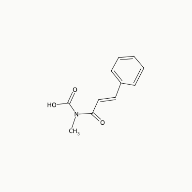 CN(C(=O)O)C(=O)C=Cc1ccccc1